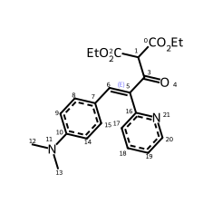 CCOC(=O)C(C(=O)OCC)C(=O)/C(=C/c1ccc(N(C)C)cc1)c1ccccn1